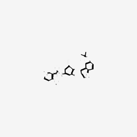 COc1ccncc1C(=O)Nc1cc(F)c(Oc2ccnc3ccc4c(c23)OC(C)(C)O4)c(F)c1